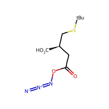 CC(C)(C)SC[C@@H](CC(=O)ON=[N+]=[N-])C(=O)O